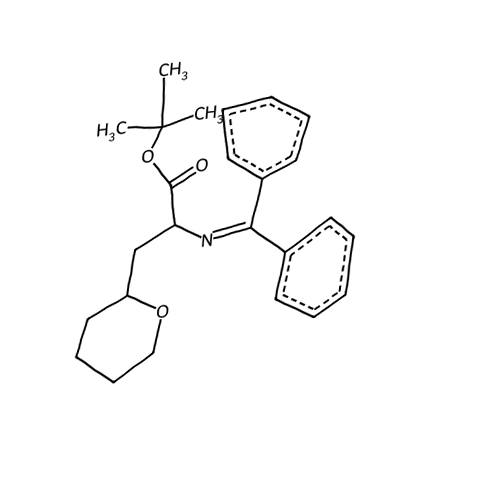 CC(C)(C)OC(=O)C(CC1CCCCO1)N=C(c1ccccc1)c1ccccc1